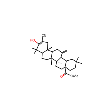 C=C1CC2[C@@]3(C)CC(C#N)=C(O)C(C)(C)C3CC[C@@]2(C)[C@]2(C)CC[C@@]3(C(=O)OC)CCC(C)(C)CC3C12